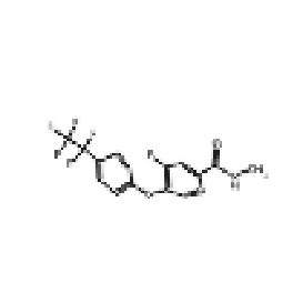 CNC(=O)c1ccc(Oc2ccc(C(F)(F)C(F)(F)F)cc2)c(F)c1